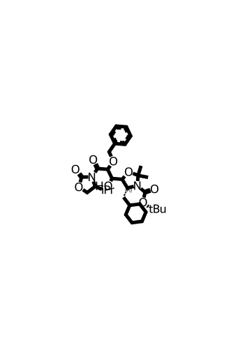 CC(C)C1COC(=O)N1C(=O)C(OCc1ccccc1)C(O)C1OC(C)(C)N(C(=O)OC(C)(C)C)[C@@H]1CC1CCCCC1